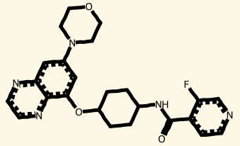 O=C(NC1CCC(Oc2cc(N3CCOCC3)cc3nccnc23)CC1)c1ccncc1F